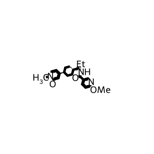 CC[C@@H](NC(=O)c1ccc(OC)nc1)[C@H]1CC[C@H](c2ccn(C)c(=O)c2)CC1